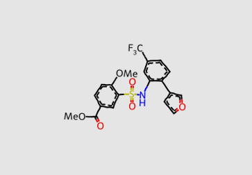 COC(=O)c1ccc(OC)c(S(=O)(=O)Nc2cc(C(F)(F)F)ccc2-c2ccoc2)c1